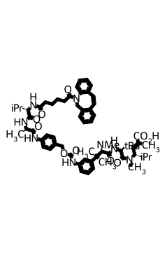 CN[C@H](C(=O)N[C@H](C(=O)N(C)[C@H](/C=C(\C)C(=O)O)C(C)C)C(C)(C)C)C(C)(C)c1cccc(NC(=O)OCc2ccc(NC(=O)[C@H](C)NC(=O)[C@@H](NC(=O)CCCCC(=O)N3Cc4ccccc4/C=C\c4ccccc43)C(C)C)cc2)c1